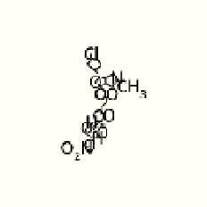 Cc1ncc2c(c1OC(=O)CCC(=O)O[C@@H]1CO[C@H]3[C@@H]1OC[C@H]3O[N+](=O)[O-])CO[C@H]2c1ccc(Cl)cc1